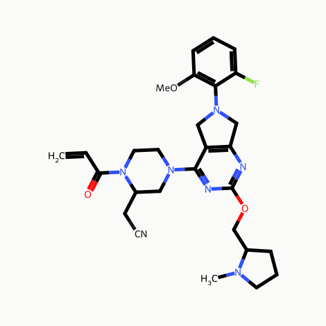 C=CC(=O)N1CCN(c2nc(OCC3CCCN3C)nc3c2CN(c2c(F)cccc2OC)C3)CC1CC#N